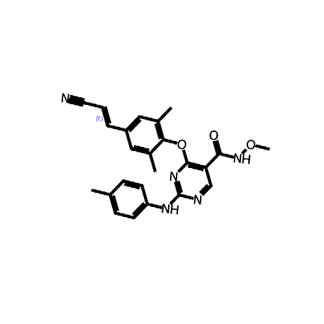 CONC(=O)c1cnc(Nc2ccc(C)cc2)nc1Oc1c(C)cc(/C=C/C#N)cc1C